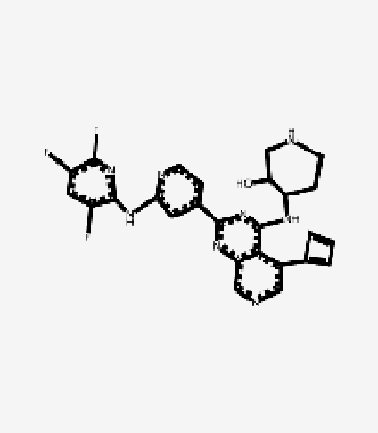 OC1CNCCC1Nc1nc(-c2ccnc(Nc3nc(F)c(F)cc3F)c2)nc2cncc(C3=CC=C3)c12